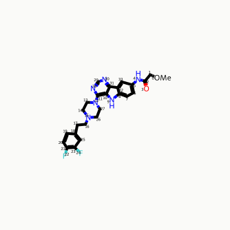 COCC(=O)Nc1ccc2[nH]c3c(N4CCN(CCc5ccc(F)c(F)c5)CC4)ncnc3c2c1